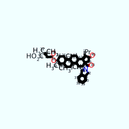 CC(C)C1=C2C3CCC4[C@@](C)(CCC5C(C)(C)[C@@H](OC(=O)CC(C)(C)C(=O)O)CC[C@@]54C)C3CCC2(C(=O)N2Cc3ccccc3C2)CC1=O